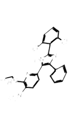 CC(C)(C)CNc1nc(-c2[nH]c(-c3c(Cl)cccc3Cl)nc2-c2ccccc2)ccc1[N+](=O)[O-]